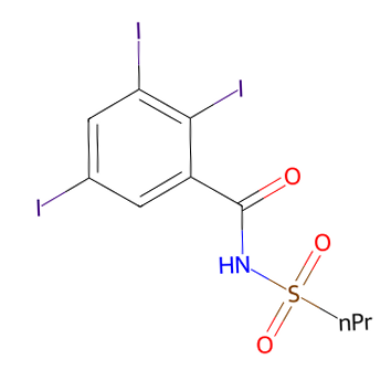 CCCS(=O)(=O)NC(=O)c1cc(I)cc(I)c1I